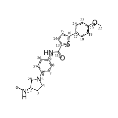 CNC1CCN(c2ccc(NC(=O)c3ccc(-c4ccc(OC)cc4)s3)cc2)C1